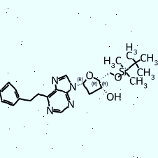 CC(C)(C)[Si](C)(C)OC[C@H]1O[C@@H](n2cnc3c(CCc4ccccc4)ncnc32)C[C@H]1O